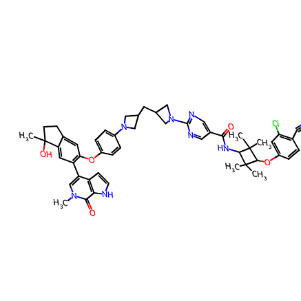 Cn1cc(-c2cc3c(cc2Oc2ccc(N4CC(CC5CN(c6ncc(C(=O)NC7C(C)(C)C(Oc8ccc(C#N)c(Cl)c8)C7(C)C)cn6)C5)C4)cc2)CCC3(C)O)c2cc[nH]c2c1=O